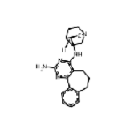 Nc1nc(N[C@H]2CN3CCC2CC3)c2c(n1)-c1ccccc1CCC2